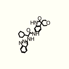 O=C(Nc1ccc2c(c1)NC(=O)C21CCOCC1)C(Nc1cc2ccccc2nn1)C1CCCCC1